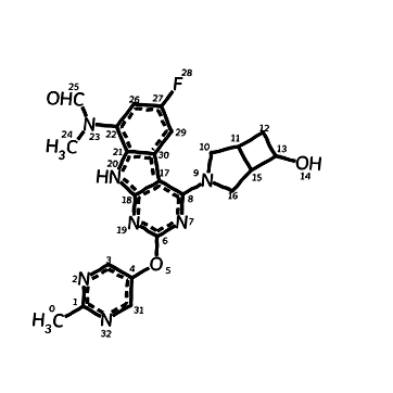 Cc1ncc(Oc2nc(N3CC4CC(O)C4C3)c3c(n2)[nH]c2c(N(C)C=O)cc(F)cc23)cn1